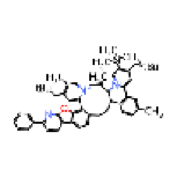 C=C1C[n+]2cc(C)c(CC(C)(C)C)cc2-c2c(ccc3c2oc2nc(-c4ccccc4)ccc23)CCC2c3ccc(C)cc3-c3cc(CC(C)(C)C)c([Si](C)(C)C)c[n+]3C12